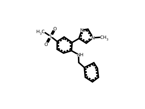 Cn1cnc(-c2cc(S(C)(=O)=O)ccc2NCc2ccccc2)c1